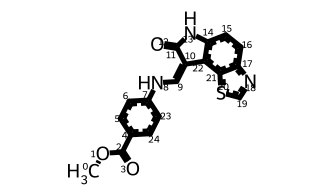 COC(=O)c1ccc(NC=C2C(=O)Nc3ccc4ncsc4c32)cc1